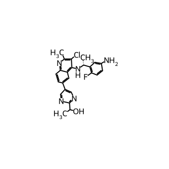 Cc1nc2ccc(-c3cnc(C(C)O)nc3)cc2c(N[C@H](C)c2cc(N)ccc2F)c1Cl